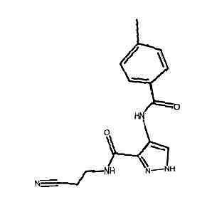 Cc1ccc(C(=O)Nc2c[nH]nc2C(=O)NCCC#N)cc1